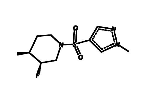 C[C@H]1CCN(S(=O)(=O)c2cnn(C)c2)C[C@H]1F